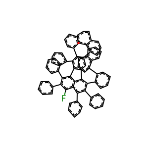 Fc1c(-c2ccccc2)c(-c2ccccc2)c2c3c(c(-c4ccccc4-c4cccc5ccccc45)c(-c4ccccc4)c(-c4ccccc4)c13)-c1cc(-c3cccc4ccccc34)c(-c3ccccc3)c(-c3ccccc3)c1-2